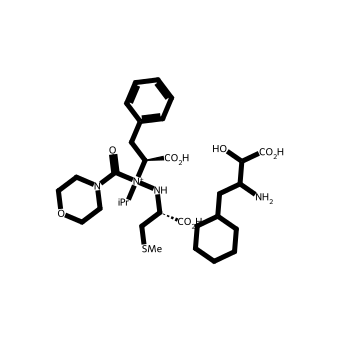 CSC[C@H](N[N+](C(=O)N1CCOCC1)(C(C)C)[C@@H](Cc1ccccc1)C(=O)O)C(=O)O.NC(CC1CCCCC1)C(O)C(=O)O